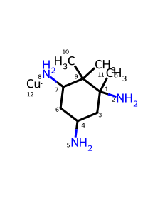 CC1(N)CC(N)CC(N)C1(C)C.[Cu]